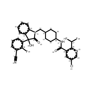 N#Cc1cccc(C2(O)C(=O)N(CC3CCC(NC(=O)c4cc(Cl)cnc4C(F)F)CC3)c3ccccc32)c1F